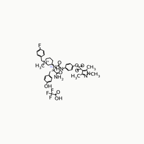 Cc1nn(C)c(C)c1S(=O)(=O)Oc1ccc(NC(=O)/[N+](=C2\CCC[N+](C)(Cc3ccc(F)cc3)C2)[C@@H](Cc2ccc(O)cc2)C(N)=O)cc1.O=C(O)C(F)(F)F